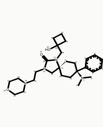 CN(C)[C@]1(c2ccccc2)CC[C@]2(CC1)CN(CCN1CCOCC1)C(=O)N2CC1(O)CCC1